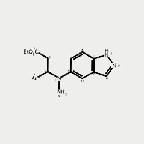 CCOC(=O)CC(C(C)=O)N(N)c1ccc2[nH]ncc2c1